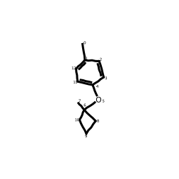 Cc1ccc(OC2(C)CCC2)cc1